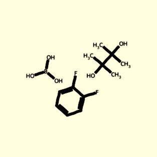 CC(C)(O)C(C)(C)O.Fc1ccccc1F.OB(O)O